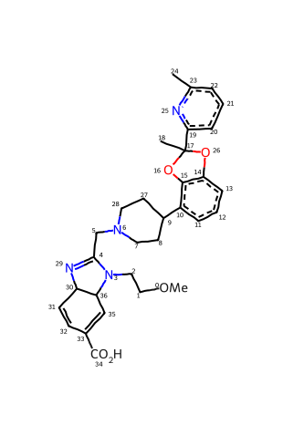 COCCN1C(CN2CCC(c3cccc4c3OC(C)(c3cccc(C)n3)O4)CC2)=NC2C=CC(C(=O)O)=CC21